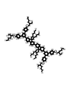 CCCCCCC1(CCCCCC)c2cc(-c3cc(-c4ccc(OCC(CC)CCCC)cc4)cc(-c4ccc(OCC(CC)CCCC)cc4)c3)ccc2-c2ccc(-c3ccc4c(c3)C(CCCCCC)(CCCCCC)c3cc(-c5cc(-c6ccc(OCC(CC)CCCC)cc6)cc(-c6ccc(OCC(CC)CCCC)cc6)c5)ccc3-4)cc21